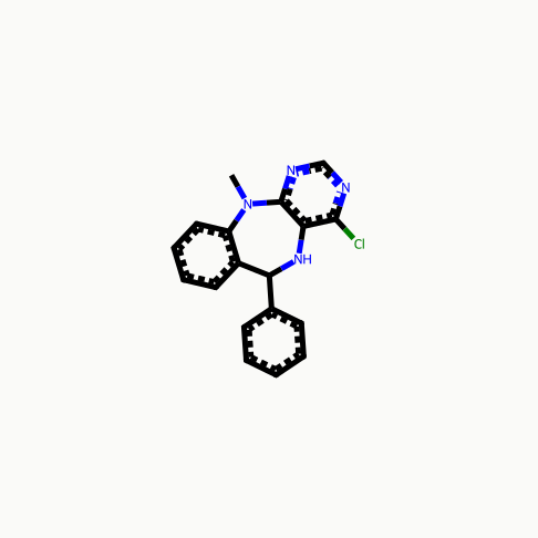 CN1c2ccccc2C(c2ccccc2)Nc2c(Cl)ncnc21